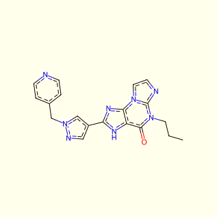 CCCn1c(=O)c2[nH]c(-c3cnn(Cc4ccncc4)c3)nc2n2ccnc12